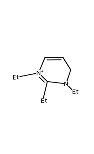 CCC1=[N+](CC)C=CCN1CC